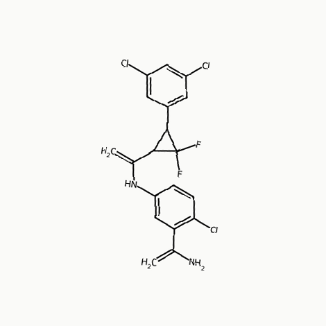 C=C(N)c1cc(NC(=C)C2C(c3cc(Cl)cc(Cl)c3)C2(F)F)ccc1Cl